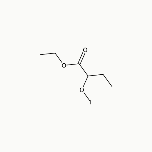 CCOC(=O)C(CC)OI